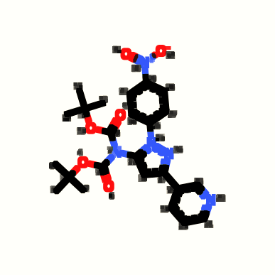 CC(C)(C)OC(=O)N(C(=O)OC(C)(C)C)c1cc(-c2cccnc2)nn1-c1ccc([N+](=O)[O-])cc1